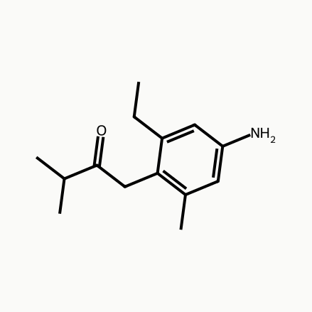 CCc1cc(N)cc(C)c1CC(=O)C(C)C